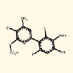 COc1c(C#N)cc(F)c(-c2cc(N)c(Cl)c(OC(=O)O)n2)c1F